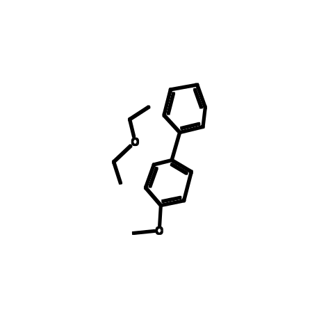 CCOCC.COc1ccc(-c2ccccc2)cc1